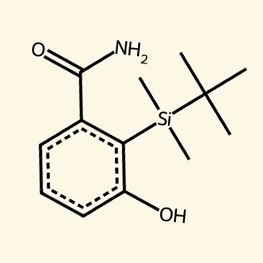 CC(C)(C)[Si](C)(C)c1c(O)cccc1C(N)=O